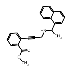 COC(=O)c1ccccc1C#CCNC(C)c1cccc2ccccc12